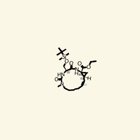 CCOC(=O)[C@@]12C[C@H]1/C=C\CCCCN(C)C(=O)N[C@@H](CO[Si](C)(C)C(C)(C)C)C(=O)N2